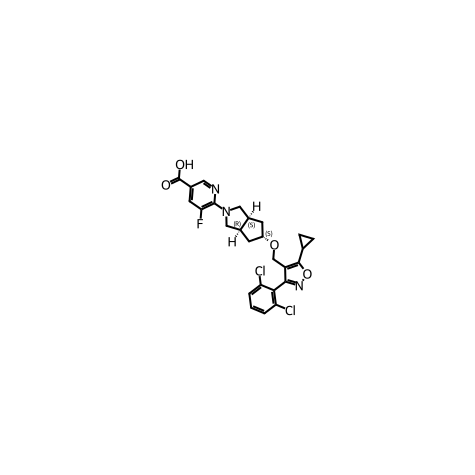 O=C(O)c1cnc(N2C[C@H]3C[C@H](OCc4c(-c5c(Cl)cccc5Cl)noc4C4CC4)C[C@H]3C2)c(F)c1